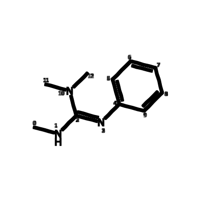 CNC(=Nc1ccccc1)N(C)C